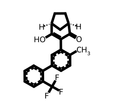 Cc1ccc(-c2ccccc2C(F)(F)F)cc1C1=C(O)[C@H]2CC[C@H](C2)C1=O